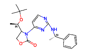 C[C@H](Nc1nccc(N2C(=O)OCC2[C@@H](C)OC(C)(C)C)n1)c1ccccc1